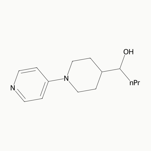 CCCC(O)C1CCN(c2ccncc2)CC1